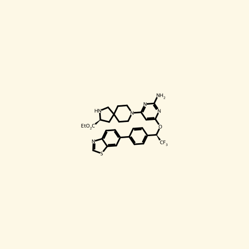 CCOC(=O)[C@@H]1CC2(CCN(c3cc(O[C@H](c4ccc(-c5ccc6ncsc6c5)cc4)C(F)(F)F)nc(N)n3)CC2)CN1